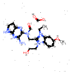 CCn1c(CN(C=O)c2nc3cc[nH]c3nc2N)[n+](CCO)c2ccc(OC)cc21.O=C[O-]